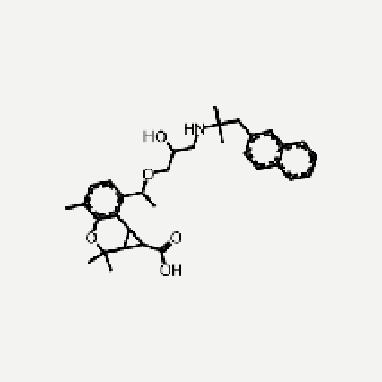 Cc1ccc(C(C)OCC(O)CNC(C)(C)Cc2ccc3ccccc3c2)c2c1OC(C)(C)C1C(C(=O)O)C21